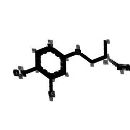 CC(=O)N[C@@H](C)COc1cc(Cl)c([N+](=O)[O-])cn1